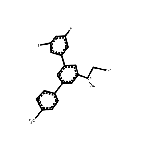 CC(=O)[C@@H](CC(C)C)c1cc(-c2ccc(C(F)(F)F)cc2)cc(-c2cc(F)cc(F)c2)c1